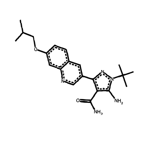 CC(C)COc1ccc2cc(-c3nn(C(C)(C)C)c(N)c3C(N)=O)cnc2c1